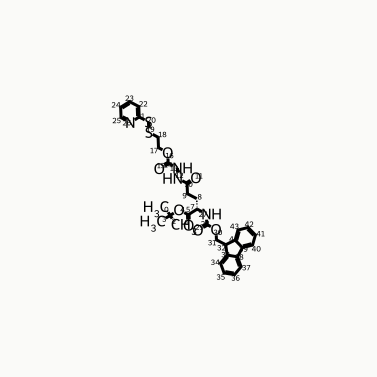 CC(C)(C)OC(=O)[C@H](CCC(=O)NNC(=O)OCCSSc1ccccn1)NC(=O)OCC1c2ccccc2-c2ccccc21